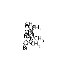 CCN(CCOC)c1cc(C)nc2c(-c3ccc(Br)cc3OC)nn(C)c12